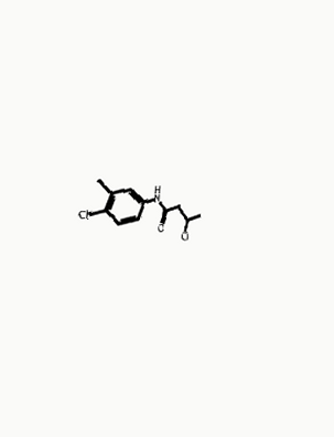 Cc1cc(NC(=O)CC(C)Cl)ccc1Cl